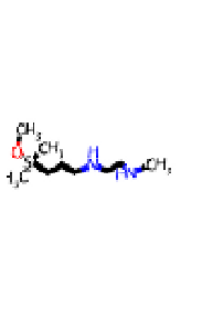 CNCCNCCC[Si](C)(C)OC